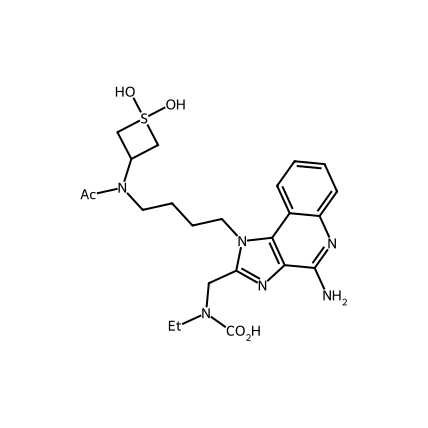 CCN(Cc1nc2c(N)nc3ccccc3c2n1CCCCN(C(C)=O)C1CS(O)(O)C1)C(=O)O